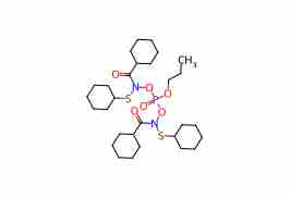 CCCOP(=O)(ON(SC1CCCCC1)C(=O)C1CCCCC1)ON(SC1CCCCC1)C(=O)C1CCCCC1